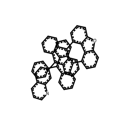 c1ccc(-c2c3ccccc3c(-c3cccc4oc5cccc(-c6c7ccccc7c(-c7ccc8cccnc8c7)c7ccccc67)c5c34)c3ccccc23)cc1